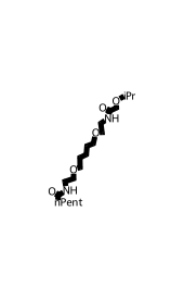 CCCCCC(=O)NCCOCCCCCOCCNC(=O)COC(C)C